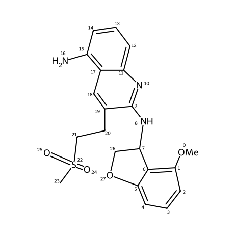 COc1cccc2c1C(Nc1nc3cccc(N)c3cc1CCS(C)(=O)=O)CO2